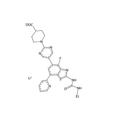 CCNC(=O)Nc1nc2c(F)c(-c3cnc(N4CCC(C(=O)[O-])CC4)nc3)cc(-c3ccccn3)c2s1.[Li+]